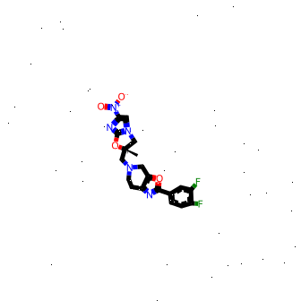 C[C@]1(CN2CCc3nc(-c4ccc(F)c(F)c4)oc3C2)Cn2cc([N+](=O)[O-])nc2O1